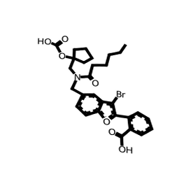 CCCCCC(=O)N(Cc1ccc2oc(-c3ccccc3C(=O)O)c(Br)c2c1)CC1(OC(=O)O)CCCC1